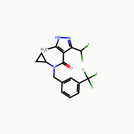 Cc1[nH]nc(C(F)F)c1C(=O)N(Cc1cccc(C(F)(F)F)c1)C1CC1